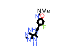 CNc1nc2cc(C#Cc3c[nH]c4ncnc(N)c34)c(F)cc2o1